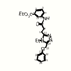 CCOC(=O)c1cccc(NC(=O)CCc2nnc(COc3ccccc3)n2CC)c1